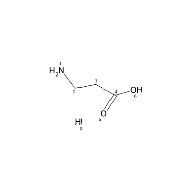 I.NCCC(=O)O